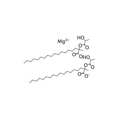 CCCCCCCCCCCCCCCCC(C)(OC(=O)C(C)O)C(=O)[O-].CCCCCCCCCCCCCCCCC(C)(OC(=O)C(C)O)C(=O)[O-].[Mg+2]